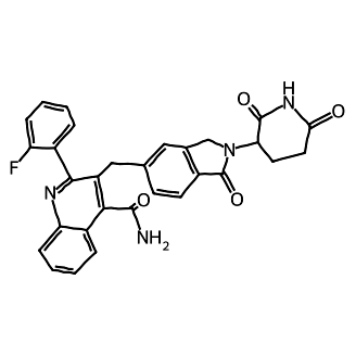 NC(=O)c1c(Cc2ccc3c(c2)CN(C2CCC(=O)NC2=O)C3=O)c(-c2ccccc2F)nc2ccccc12